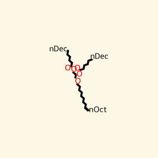 CCCCCCCC/C=C\CCCCCCCCOCC(COC(=O)CCCCCCCCCCCCCCC)OC(=O)CCCCCCCCCCCCCCC